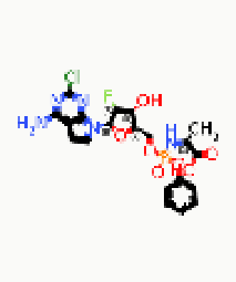 C[C@H](NP(=O)(OC[C@H]1O[C@@H](n2ccc3c(N)nc(Cl)nc32)[C@@H](F)[C@@H]1O)Oc1ccccc1)C(=O)O